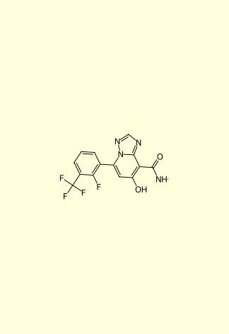 [NH]C(=O)c1c(O)cc(-c2cccc(C(F)(F)F)c2F)n2ncnc12